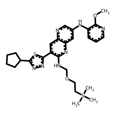 COc1ncccc1Nc1cnc2cc(-c3nnc(C4CCCC4)s3)c(NCOCC[Si](C)(C)C)nc2c1